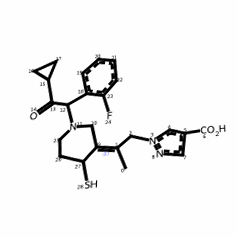 C/C(Cn1cc(C(=O)O)cn1)=C1/CN(C(C(=O)C2CC2)c2ccccc2F)CCC1S